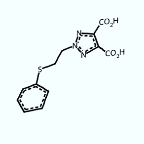 O=C(O)c1nn(CCSc2ccccc2)nc1C(=O)O